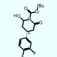 CC(C)(C)OC(=O)N1C(=O)C[C@H](c2ccc(F)c(F)c2)CC1O